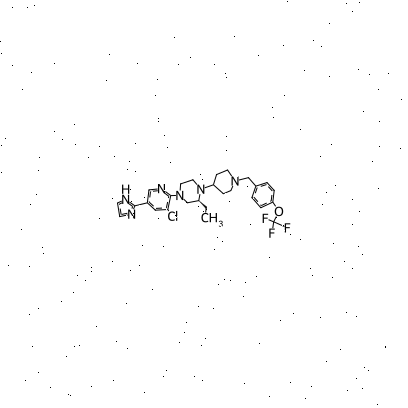 CC[C@H]1CN(c2ncc(-c3ncc[nH]3)cc2Cl)CCN1C1CCN(Cc2ccc(OC(F)(F)F)cc2)CC1